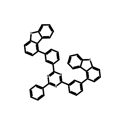 c1ccc(-c2nc(-c3cccc(-c4cccc5sc6ccccc6c45)c3)nc(-c3cccc(-c4cccc5sc6ccccc6c45)c3)n2)cc1